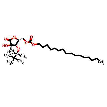 CCCCCCCCCCCCCCCCOC(=O)OC[C@H]1OC(=O)[C@@](C)(O)[C@@H]1O[Si](C)(C)C(C)(C)C